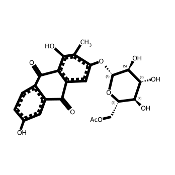 CC(=O)OC[C@@H]1O[C@H](Oc2cc3c(c(O)c2C)C(=O)c2ccc(O)cc2C3=O)[C@@H](O)[C@H](O)[C@H]1O